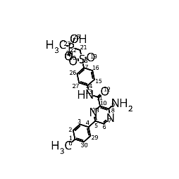 Cc1ccc(-c2cnc(N)c(C(=O)Nc3ccc(S(=O)(=O)CP(C)(=O)O)cc3)n2)cc1